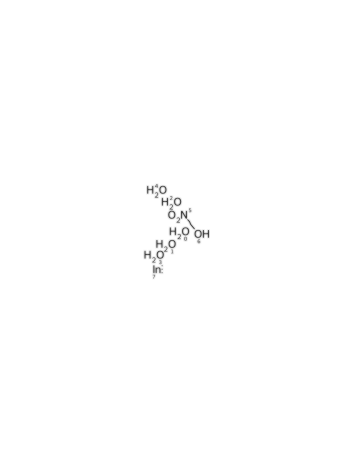 O.O.O.O.O.O=[N+]([O-])O.[In]